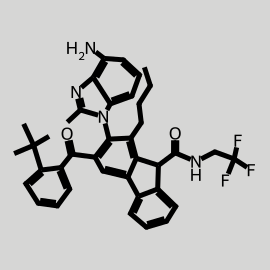 CCCCc1c2c(cc(C(=O)c3ccccc3C(C)(C)C)c1-n1c(C)nc3c(N)cccc31)-c1ccccc1C2C(=O)NCC(F)(F)F